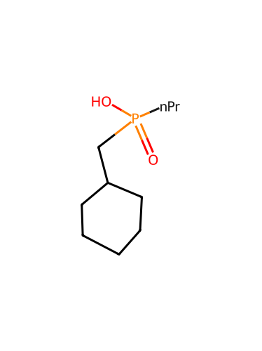 CCCP(=O)(O)CC1CCCCC1